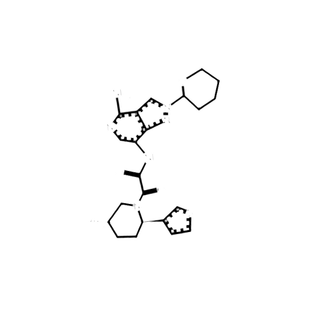 C[C@H]1CC[C@H](c2ccsc2)N(C(=O)C(=O)Nc2cnc(N)c3cn(C4CCCCO4)nc23)C1